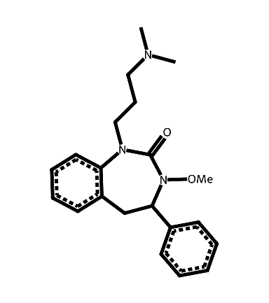 CON1C(=O)N(CCCN(C)C)c2ccccc2CC1c1ccccc1